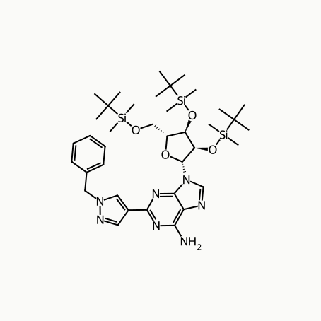 CC(C)(C)[Si](C)(C)OC[C@H]1O[C@@H](n2cnc3c(N)nc(-c4cnn(Cc5ccccc5)c4)nc32)[C@H](O[Si](C)(C)C(C)(C)C)[C@@H]1O[Si](C)(C)C(C)(C)C